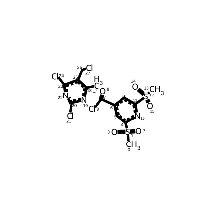 CS(=O)(=O)c1cc(C(=O)Cl)cc(S(C)(=O)=O)n1.Cc1nc(Cl)nc(Cl)c1CCl